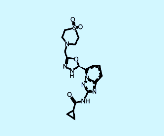 O=C(Nc1nc2cccc([C@H]3NN=C(CN4CCS(=O)(=O)CC4)O3)n2n1)C1CC1